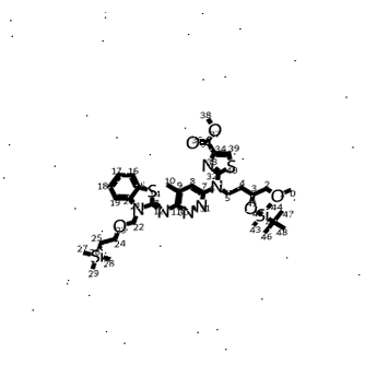 COCC(CCN(c1cc(C)c(/N=c2\sc3ccccc3n2COCC[Si](C)(C)C)nn1)c1nc(C(=O)OC)cs1)O[Si](C)(C)C(C)(C)C